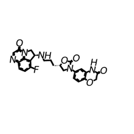 O=C1COc2ccc(N3C[C@H](CCCN[C@@H]4Cn5c(=O)cnc6ccc(F)c4c65)OC3=O)cc2N1